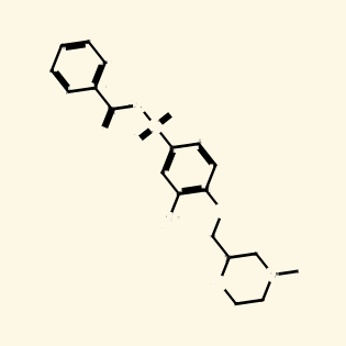 CN1CCOC(COc2ccc(S(=O)(=O)NC(=O)c3ccccc3)cc2[N+](=O)[O-])C1